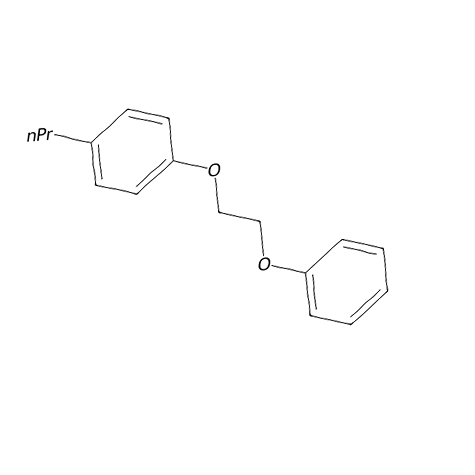 CCCc1ccc(OCCOc2ccccc2)cc1